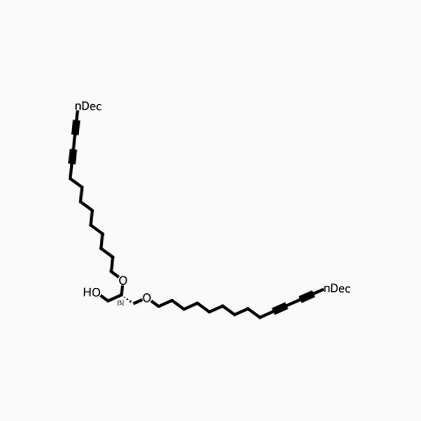 CCCCCCCCCCC#CC#CCCCCCCCCCOC[C@H](CO)OCCCCCCCCCC#CC#CCCCCCCCCCC